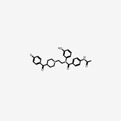 CC(=O)Nc1ccc(C(=O)N(CCN2CCC(C(=O)c3ccc(F)cc3)CC2)c2cccc(O)c2)cc1